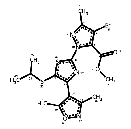 COC(=O)c1c(Br)c(C)nn1-c1nc(-c2c(C)noc2C)c(SC(C)C)s1